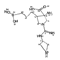 N=C(NC1CNC1)N1CC(CCCB(O)O)C(N)(C(=O)O)C1